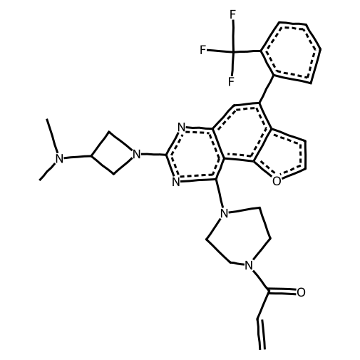 C=CC(=O)N1CCN(c2nc(N3CC(N(C)C)C3)nc3cc(-c4ccccc4C(F)(F)F)c4ccoc4c23)CC1